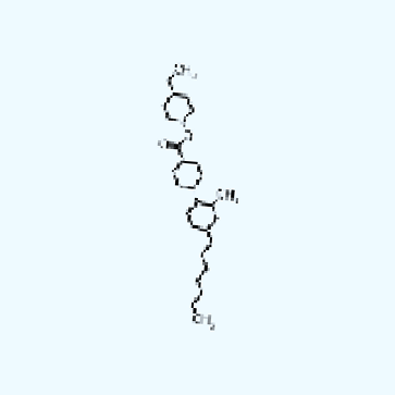 CCCCCCCC1CCC([C@H]2CC[C@H](C(=O)O[C@H]3CC[C@H](CC)CC3)CC2)C(C)C1